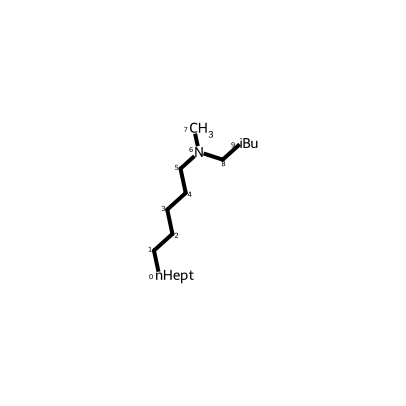 CCCCCCCCCCCCN(C)CC(C)CC